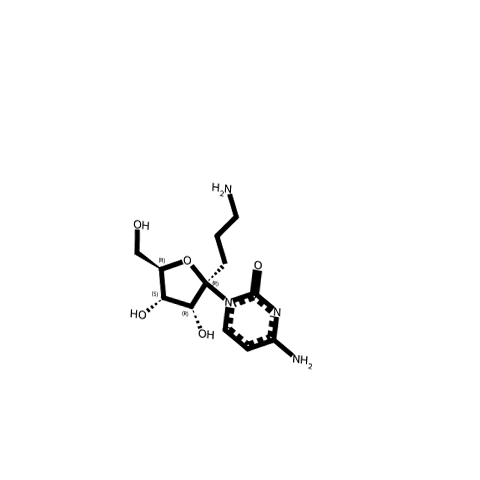 NCCC[C@@]1(n2ccc(N)nc2=O)O[C@H](CO)[C@@H](O)[C@H]1O